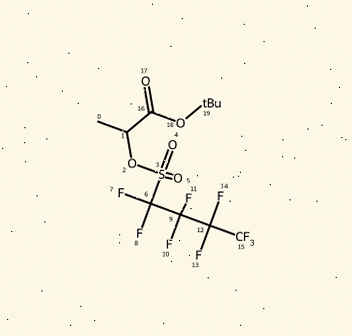 CC(OS(=O)(=O)C(F)(F)C(F)(F)C(F)(F)C(F)(F)F)C(=O)OC(C)(C)C